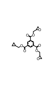 O=C(OCC1CC1)c1cc(C(=O)OCC2CO2)cc(C(=O)OCC2CO2)c1